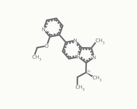 CCOc1ncccc1-c1ccn2c([C@@H](C)CC)nc(C)c2n1